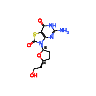 Nc1nc2c(sc(=O)n2[C@H]2CC[C@@H](CCO)O2)c(=O)[nH]1